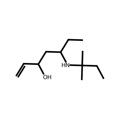 C=CC(O)CC(CC)NC(C)(C)CC